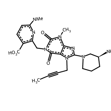 CC#CCn1c(N2CCC[C@H](N)C2)nc2c1c(=O)n(Cc1nc(NC)ccc1C(=O)O)c(=O)n2C